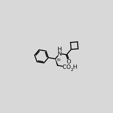 O=C(O)C[C@H](NC(=O)C1CCC1)c1ccccc1